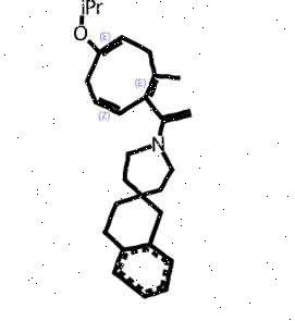 C=C(C1=C(\C)C/C=C(/OC(C)C)C/C=C\1)N1CCC2(CCc3ccccc3C2)CC1